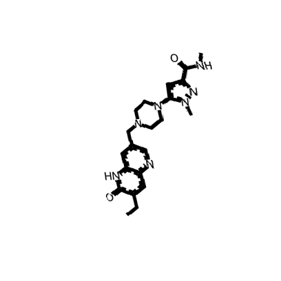 CCc1cc2ncc(CN3CCN(c4cc(C(=O)NC)nn4C)CC3)cc2[nH]c1=O